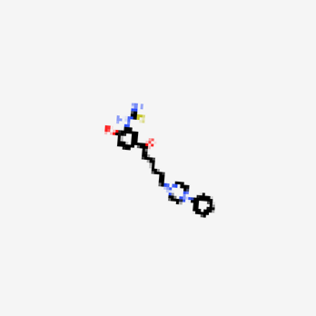 NC(=S)Nc1cc(C(=O)CCCCCN2CCN(c3ccccc3)CC2)ccc1O